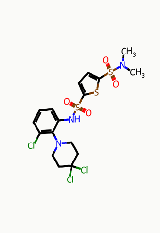 CN(C)S(=O)(=O)c1ccc(S(=O)(=O)Nc2cccc(Cl)c2N2CCC(Cl)(Cl)CC2)s1